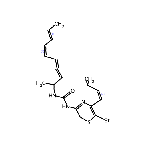 C=C/C=C\C1=C(CC)SCC(NC(=O)NC(C)C=C=C/C=C\C=C\C)=N1